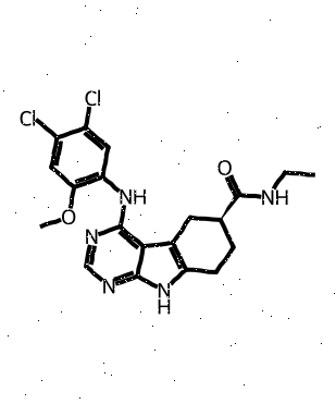 CCNC(=O)[C@H]1CCc2[nH]c3ncnc(Nc4cc(Cl)c(Cl)cc4OC)c3c2C1